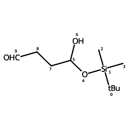 CC(C)(C)[Si](C)(C)OC(O)CCC=O